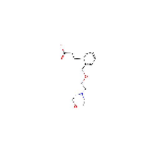 O=C(O)CCc1ccccc1COCCN1CCOCC1